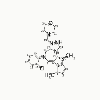 CC1C=CC2=C1C1=CN(c3ccccc3Cl)CC3N(CN4CCOCC4)NCN3C1=S2C